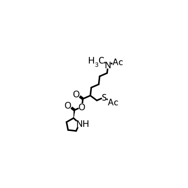 CC(=O)SCC(CCCCN(C)C(C)=O)C(=O)OC(=O)[C@@H]1CCCN1